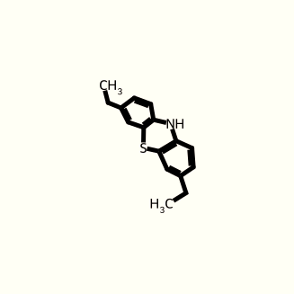 CCc1ccc2c(c1)Sc1cc(CC)ccc1N2